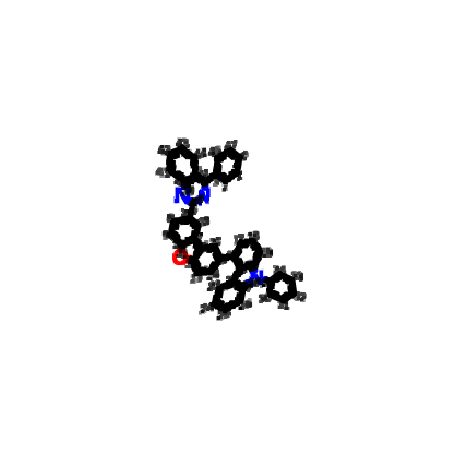 c1ccc(-c2nc(-c3ccc4oc5ccc(-c6cccc7c6c6ccccc6n7-c6ccccc6)cc5c4c3)nc3ccccc23)cc1